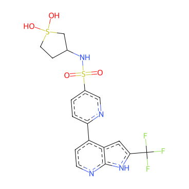 O=S(=O)(NC1CCS(O)(O)C1)c1ccc(-c2ccnc3[nH]c(C(F)(F)F)cc23)nc1